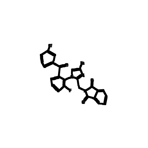 CCc1cn(-c2c(F)cccc2C(=O)c2cccc(Cl)c2)c(CN2C(=O)c3ccccc3C2=O)n1